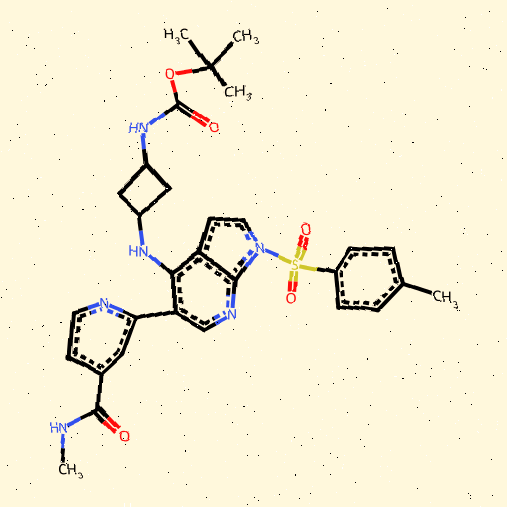 CNC(=O)c1ccnc(-c2cnc3c(ccn3S(=O)(=O)c3ccc(C)cc3)c2NC2CC(NC(=O)OC(C)(C)C)C2)c1